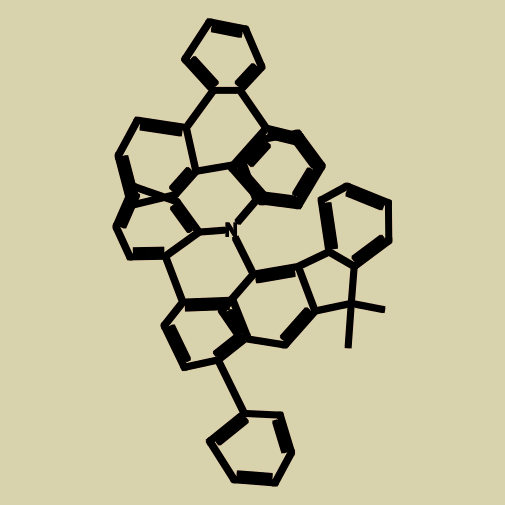 CC1(C)c2ccccc2-c2c(N(c3ccccc3-c3ccc(-c4ccccc4)cc3)c3ccccc3-c3ccccc3-c3ccccc3-c3ccccc3)cccc21